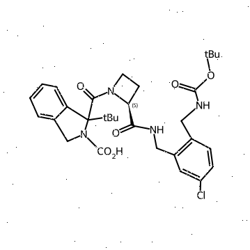 CC(C)(C)OC(=O)NCc1ccc(Cl)cc1CNC(=O)[C@@H]1CCN1C(=O)C1(C(C)(C)C)c2ccccc2CN1C(=O)O